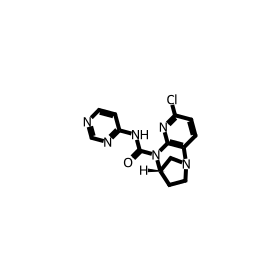 O=C(Nc1ccncn1)N1c2nc(Cl)ccc2N2CC[C@H]1C2